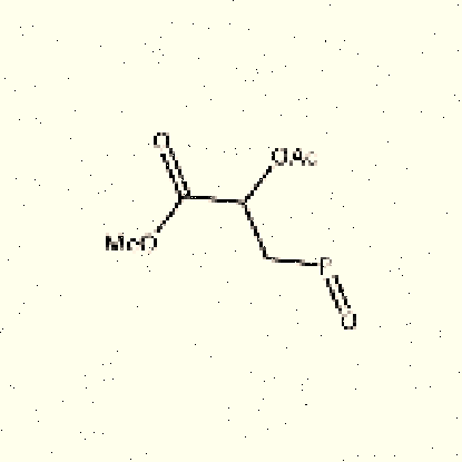 COC(=O)C(CP=O)OC(C)=O